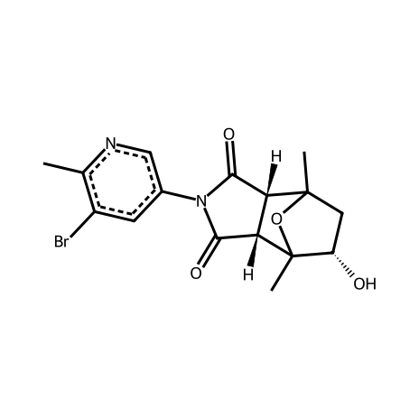 Cc1ncc(N2C(=O)[C@@H]3[C@H](C2=O)C2(C)C[C@H](O)C3(C)O2)cc1Br